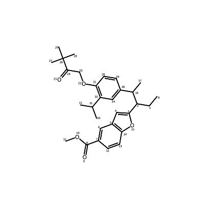 CCC(c1cc2cc(C(=O)OC)ccc2o1)C(C)c1ccc(OCC(=O)C(C)(C)C)c(C(C)C)c1